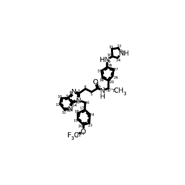 C[C@H](NC(=O)CCc1nc2cccnc2n1Cc1ccc(OC(F)(F)F)cc1)c1ccc(NC2CCNC2)cc1